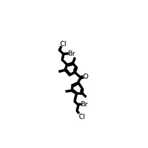 Cc1cc(C(=O)c2cc(C)c(CC(Br)CCl)c(C)c2)cc(C)c1CC(Br)CCl